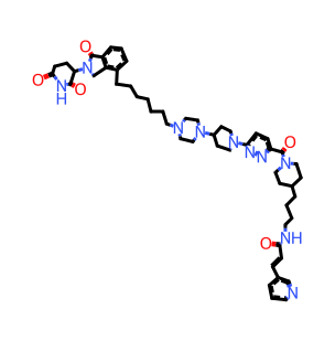 O=C(/C=C/c1cccnc1)NCCCCC1CCN(C(=O)c2ccc(N3CCC(N4CCN(CCCCCCCc5cccc6c5CN(C5CCC(=O)NC5=O)C6=O)CC4)CC3)nn2)CC1